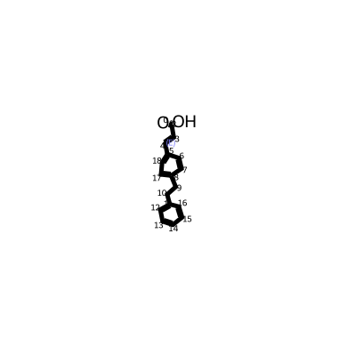 O=C(O)/C=C/c1ccc(CCc2ccccc2)cc1